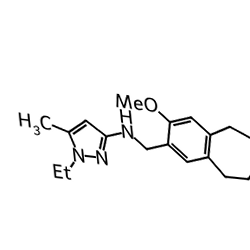 CCn1nc(NCc2cc3c(cc2OC)CCCCC3)cc1C